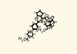 CC[C@H]1CN(C(=O)[C@@H](NC(=O)c2ccc(N3CCN(CC)CC3)cc2)C2CCCC2)[C@@H]2C(=O)CO[C@H]12